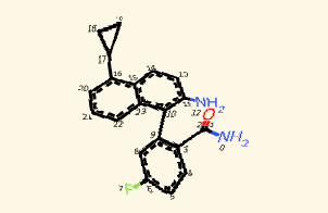 NC(=O)c1ccc(F)cc1-c1c(N)ccc2c(C3CC3)cccc12